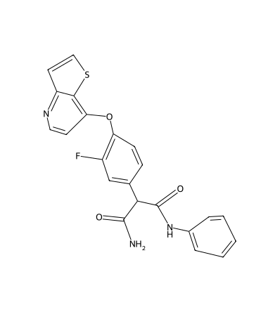 NC(=O)C(C(=O)Nc1ccccc1)c1ccc(Oc2ccnc3ccsc23)c(F)c1